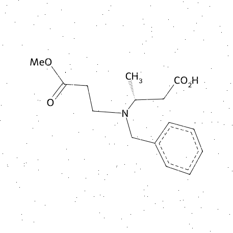 COC(=O)CCN(Cc1ccccc1)[C@H](C)CC(=O)O